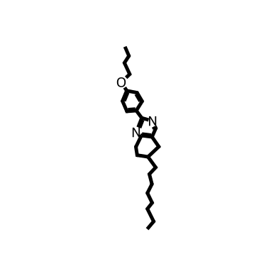 CCCCCCCCC1CCc2nc(-c3ccc(OCCCC)cc3)ncc2C1